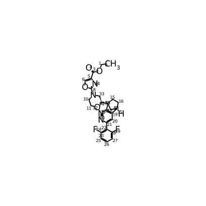 CCOC(=O)c1coc(N2CCO[C@H]([C@]34CC[C@H](C3)c3cc(-c5c(F)cccc5F)nnc34)C2)n1